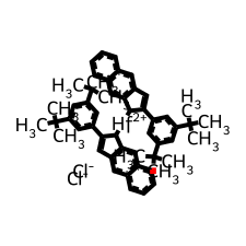 CC(C)(C)c1cc(C2=Cc3cc4ccccc4cc3[CH]2[Hf+2][CH]2C(c3cc(C(C)(C)C)cc(C(C)(C)C)c3)=Cc3cc4ccccc4cc32)cc(C(C)(C)C)c1.[Cl-].[Cl-]